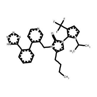 CCCCc1cn(-c2c(C(F)(F)F)ccn2C(C)C)c(=O)n1Cc1cnccc1-c1ccccc1-c1nnn[nH]1